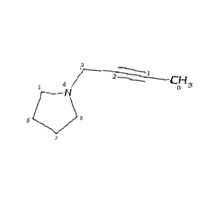 CC#C[CH]N1CCCC1